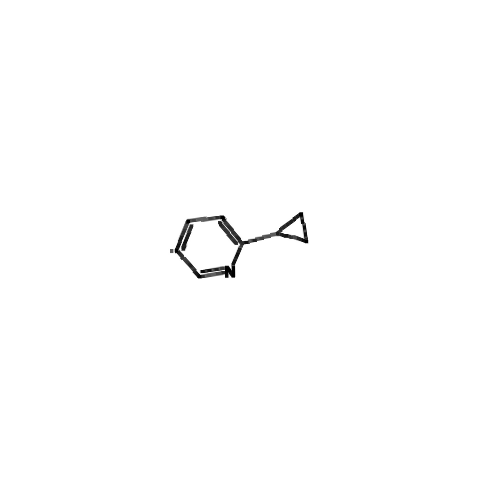 [c]1ccc(C2CC2)nc1